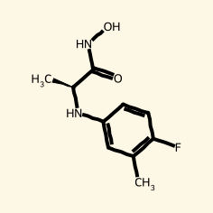 Cc1cc(N[C@@H](C)C(=O)NO)ccc1F